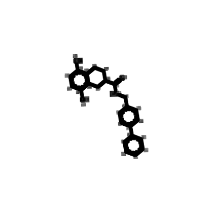 O=C(NCc1ccc(-c2ccccc2)cc1)C1CCc2c(O)ccc(O)c2C1